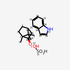 CC12CCC(CC1=O)C2(C)C.O=S(=O)(O)O.c1ccc2[nH]ccc2c1